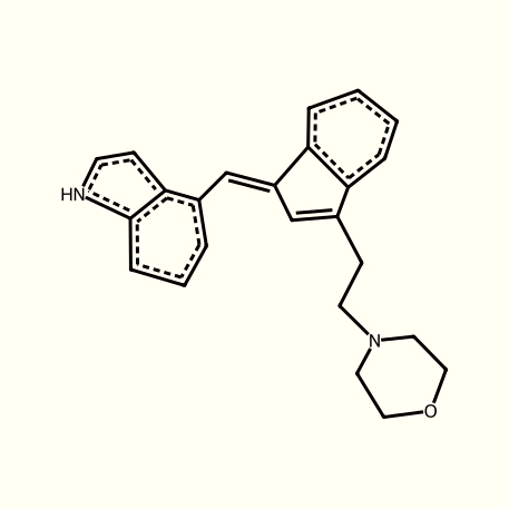 C(=C1C=C(CCN2CCOCC2)c2ccccc21)c1cccc2[nH]ccc12